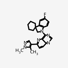 Cc1c(-c2ccc3ncnc(N4CC5(CCCCC5)c5cc(F)ccc54)c3n2)cnn1C